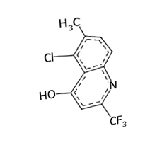 Cc1ccc2nc(C(F)(F)F)cc(O)c2c1Cl